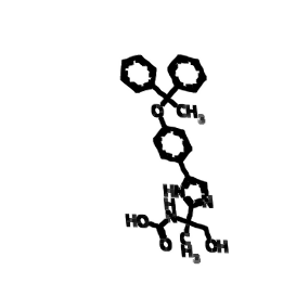 CC(Oc1ccc(-c2cnc([C@](C)(CO)NC(=O)O)[nH]2)cc1)(c1ccccc1)c1ccccc1